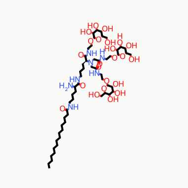 CCCCCCCCCCCCCCCC(=O)NCCCCC(N)C(=O)NCCCC[C@@H](C(=O)NCCOC1OC(CO)C(O)C(O)C1O)N(CC(=O)NCCOC1OC(CO)C(O)C(O)C1O)CC(=O)NCCOC1OC(CO)C(O)C(O)C1O